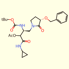 CC(=O)OC(C(=O)NC1CC1)[C@H](CN1CC[C@H](OCc2ccccc2)C1=O)NC(=O)OC(C)(C)C